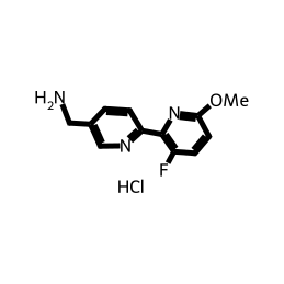 COc1ccc(F)c(-c2ccc(CN)cn2)n1.Cl